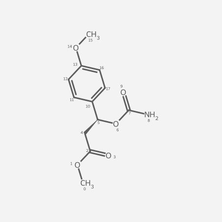 COC(=O)C[C@H](OC(N)=O)c1ccc(OC)cc1